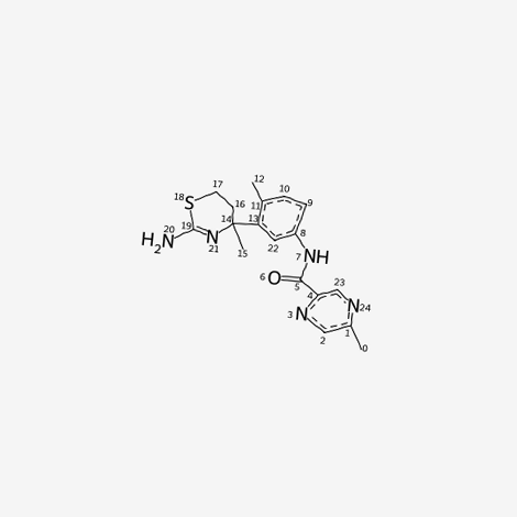 Cc1cnc(C(=O)Nc2ccc(C)c(C3(C)CCSC(N)=N3)c2)cn1